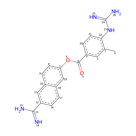 Cc1cc(C(=O)Oc2ccc3cc(C(=N)N)ccc3c2)ccc1NC(=N)N